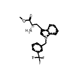 COC(=O)[C@@H](N)Cc1cn(Cc2cccc(C(F)(F)F)c2)c2ccccc12